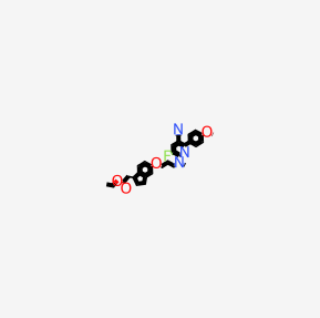 CCOC(=O)C[C@@H]1CCc2cc(OCCCN(C)c3nc(-c4ccc(OC)cc4)c(C#N)cc3F)ccc21